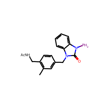 CC(=O)NCc1ccc(Cn2c(=O)n(P)c3ccccc32)cc1C